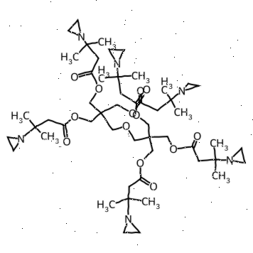 CC(C)(CC(=O)OCC(COCC(COC(=O)CC(C)(C)N1CC1)(COC(=O)CC(C)(C)N1CC1)COC(=O)CC(C)(C)N1CC1)(COC(=O)CC(C)(C)N1CC1)COC(=O)CC(C)(C)N1CC1)N1CC1